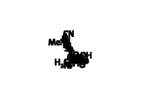 CNc1c(-c2cn3c(n2)sc2cc(OCCOc4cc(-c5scnc5C)ccc4CNC(=O)[C@@H]4C[C@@H](O)CN4C(=O)[C@H](C(C)C)N4Cc5ccccc5C4=O)ccc23)nc2cc(C#N)ccn12